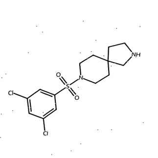 O=S(=O)(c1cc(Cl)cc(Cl)c1)N1CCC2(CCNC2)CC1